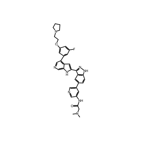 CN(C)CC(=O)Nc1cncc(-c2ccc3[nH]nc(-c4cc5c(-c6cc(F)cc(OCCN7CCCC7)c6)cncc5[nH]4)c3c2)c1